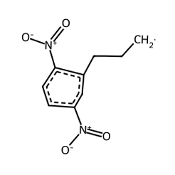 [CH2]CCc1cc([N+](=O)[O-])ccc1[N+](=O)[O-]